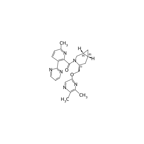 Cc1ccc(-c2ncccn2)c(C(=O)N2C[C@@H]3C[C@@H]3C[C@H]2COc2cnc(C)c(C)n2)n1